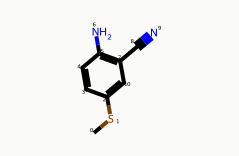 CSc1ccc(N)c(C#N)c1